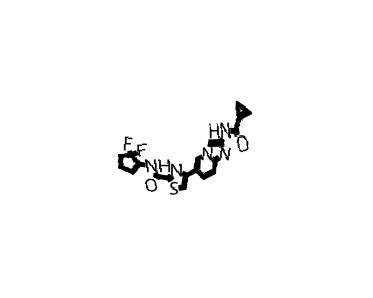 O=C(NC1CCCC1(F)F)c1nc(-c2ccc3nc(NC(=O)C4CC4)cn3c2)cs1